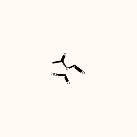 CC(=O)OC=O.O=CO